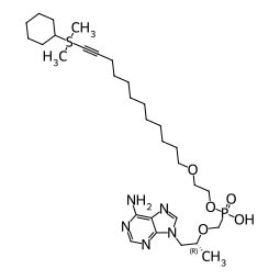 C[C@H](Cn1cnc2c(N)ncnc21)OCP(=O)(O)OCCOCCCCCCCCCCC#CS(C)(C)C1CCCCC1